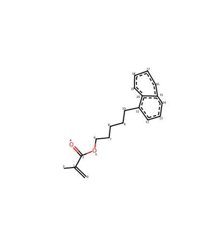 C=C(C)C(=O)OCCCCCc1cccc2ccccc12